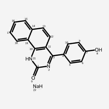 O=c1nc(-c2ccc(O)cc2)c2ccc3ccccc3c2[nH]1.[NaH]